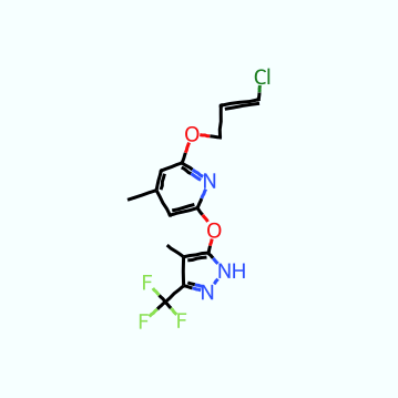 Cc1cc(OCC=CCl)nc(Oc2[nH]nc(C(F)(F)F)c2C)c1